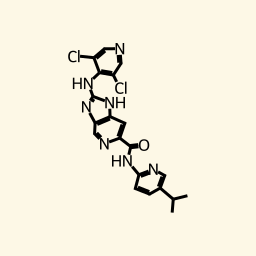 CC(C)c1ccc(NC(=O)c2cc3[nH]c(Nc4c(Cl)cncc4Cl)nc3cn2)nc1